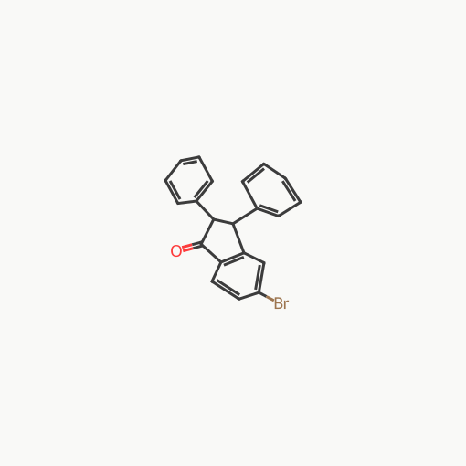 O=C1c2ccc(Br)cc2C(c2ccccc2)C1c1ccccc1